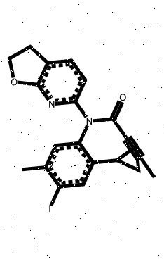 CC#CC(=O)N(c1ccc2c(n1)OCC2)c1cc(C)c(I)cc1C1CC1